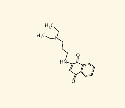 CCN(CC)CCCNC1=CC(=O)c2ccccc2C1=O